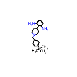 C[Si](C)(C)c1ccc(CN2CCC(c3c(N)cccc3N)CC2)cc1